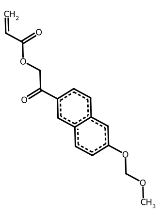 C=CC(=O)OCC(=O)c1ccc2cc(OCOC)ccc2c1